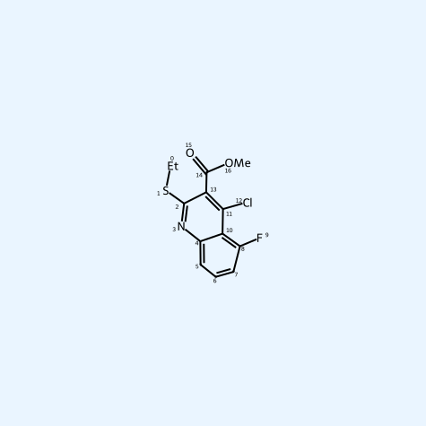 CCSc1nc2cccc(F)c2c(Cl)c1C(=O)OC